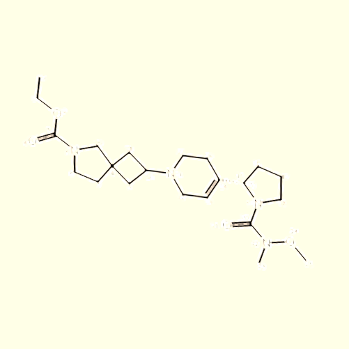 CCOC(=O)N1CCC2(CC(N3CC=C([C@@H]4CCCN4C(=O)N(C)OC)CC3)C2)C1